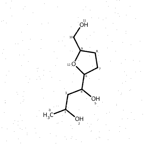 CC(O)CC(O)C1CCC(CO)O1